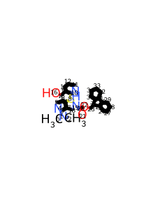 CN(C)c1nccc(Sc2ncccc2CO)c1CNC(=O)OCC1c2ccccc2-c2ccccc21